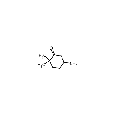 CC1CCC(C)(C)C(=O)C1